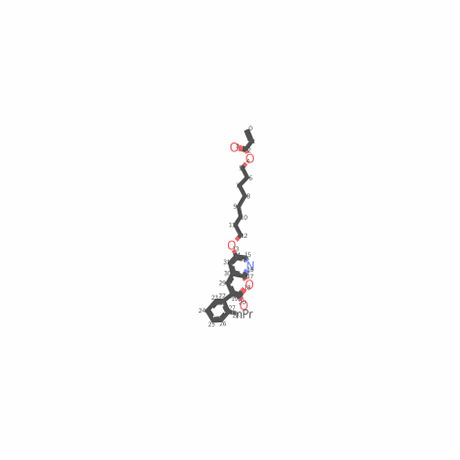 C=CC(=O)OCCCCCCCCOc1cnc2oc(=O)c(-c3ccccc3CCC)cc2c1